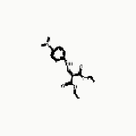 CCOC(=O)C(=CNc1ccc(N(C)C)cc1)C(=O)OCC